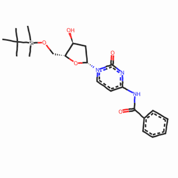 CC(C)(C)[Si](C)(C)OC[C@H]1O[C@@H](n2ccc(NC(=O)c3ccccc3)nc2=O)C[C@@H]1O